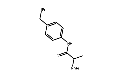 CNC(C)C(=O)Nc1ccc(CC(C)C)cc1